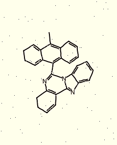 Cc1c2c(c(-c3nc4c(c5nc6ccccc6n35)C=CCC4)c3ccccc13)=CCCC=2